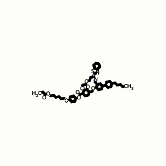 C=CC(=O)OCCCCCCOc1ccc(OC(=O)C2CCC(COc3ccc(C4CCC(CCCCC)CC4)cc3/C=N/N(CCOC(=O)C=C)c3nc4ccccc4s3)CC2)cc1